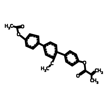 C=C(C)C(=O)Oc1ccc(-c2ccc(-c3ccc(OC(C)=O)cc3)cc2CC)cc1